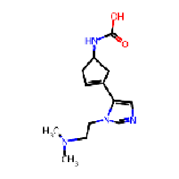 CN(C)CCn1cncc1C1=CCC(NC(=O)O)C1